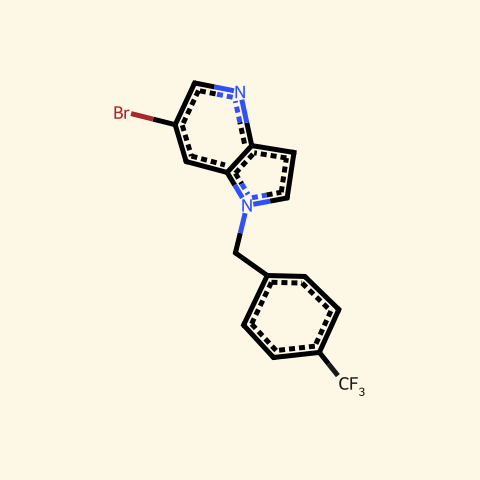 FC(F)(F)c1ccc(Cn2ccc3ncc(Br)cc32)cc1